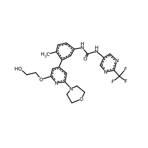 Cc1ccc(NC(=O)Nc2cnc(C(F)(F)F)nc2)cc1-c1cc(OCCO)nc(N2CCOCC2)c1